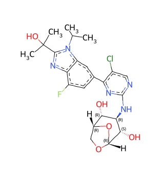 CC(C)n1c(C(C)(C)O)nc2c(F)cc(-c3nc(N[C@H]4[C@H](O)[C@@H]5OC[C@@H](O5)[C@@H]4O)ncc3Cl)cc21